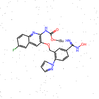 CC(C)(C)OC(=O)Nc1nc2ccc(F)cc2cc1OCc1cc(C(=N)NO)ccc1-n1cccn1